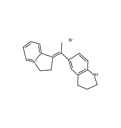 CC(=C1CC[n+]2ccccc21)c1ccc2c(c1)CCCN2.[Br-]